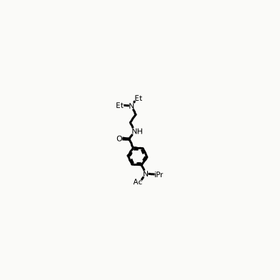 CCN(CC)CCNC(=O)c1ccc(N(C(C)=O)C(C)C)cc1